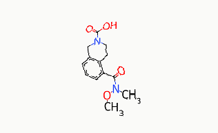 CON(C)C(=O)c1cccc2c1CCN(C(=O)O)C2